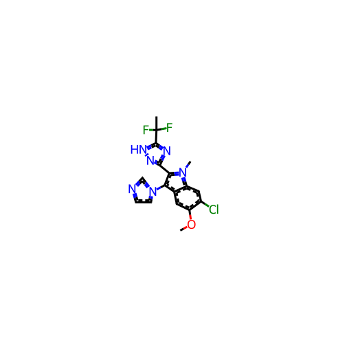 COc1cc2c(-n3ccnc3)c(-c3n[nH]c(C(C)(F)F)n3)n(C)c2cc1Cl